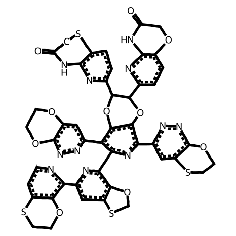 O=C1COc2ccc(C3Oc4c(-c5cc6c(nn5)OCCS6)nc(-c5nc(-c6n[c]cc7c6OCCS7)cc6c5OCS6)c(-c5cc6c(nn5)OCCO6)c4OC3c3ccc4c(n3)NC(=O)CS4)nc2N1